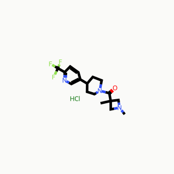 CN1CC(C)(C(=O)N2CCC(c3ccc(C(F)(F)F)nc3)CC2)C1.Cl